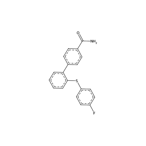 NC(=O)c1ccc(-c2ccccc2Sc2ccc(F)cc2)cc1